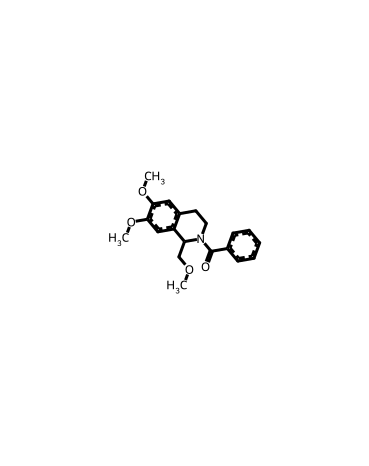 COCC1c2cc(OC)c(OC)cc2CCN1C(=O)c1ccccc1